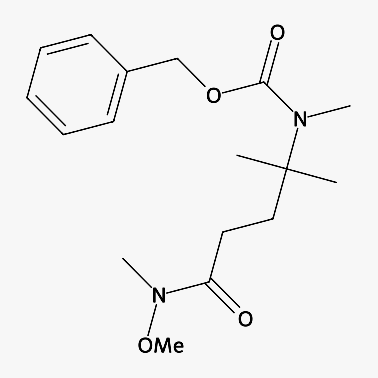 CON(C)C(=O)CCC(C)(C)N(C)C(=O)OCc1ccccc1